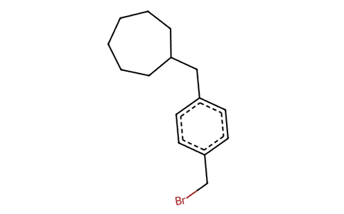 BrCc1ccc(CC2CCCCCC2)cc1